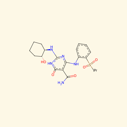 CC(C)S(=O)(=O)c1ccccc1Nc1nc(N[C@@H]2CCCC[C@H]2O)[nH]c(=O)c1C(N)=O